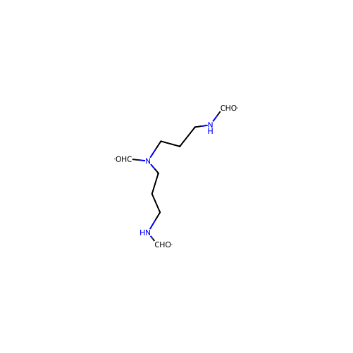 O=[C]NCCCN([C]=O)CCCN[C]=O